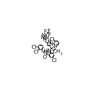 Cc1cc(Cl)cc(C(=O)NCc2cccc(Cl)c2Cl)c1NC(=O)c1cc(Cn2nnc(C(F)(F)F)n2)nn1-c1ncccc1Cl